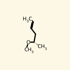 C/C=C/C[C@H](C)OC